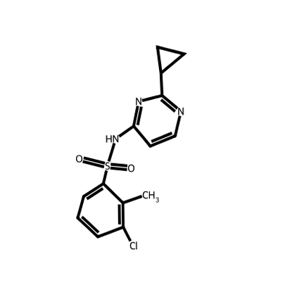 Cc1c(Cl)cccc1S(=O)(=O)Nc1ccnc(C2CC2)n1